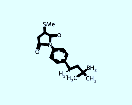 BC(C)(C)CC(C)c1ccc(N2C(=O)CC(SC)C2=O)cc1